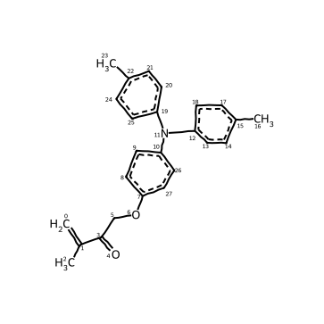 C=C(C)C(=O)COc1ccc(N(c2ccc(C)cc2)c2ccc(C)cc2)cc1